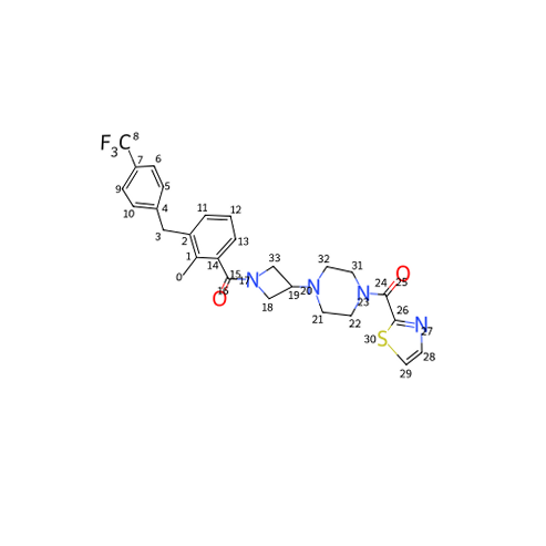 Cc1c(Cc2ccc(C(F)(F)F)cc2)cccc1C(=O)N1CC(N2CCN(C(=O)c3nccs3)CC2)C1